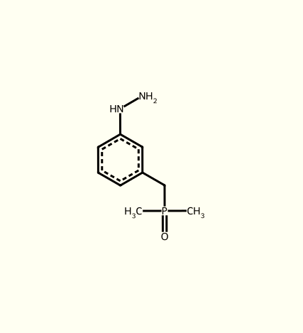 CP(C)(=O)Cc1cccc(NN)c1